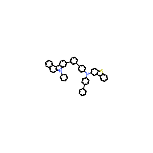 c1ccc(-c2ccc(N(c3ccc(-c4cccc(-c5ccc6c7c8ccccc8ccc7n(-c7ccccc7)c6c5)c4)cc3)c3ccc4sc5ccccc5c4c3)cc2)cc1